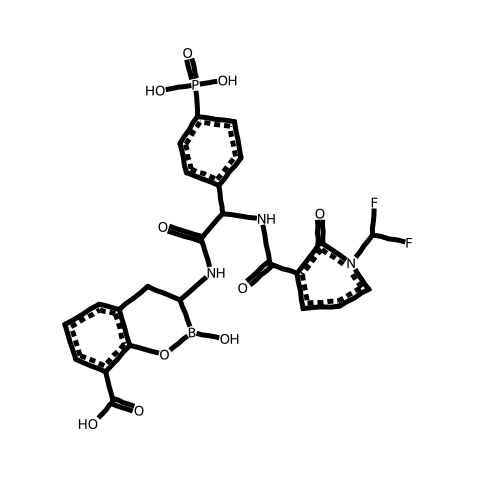 O=C(O)c1cccc2c1OB(O)C(NC(=O)C(NC(=O)c1cccn(C(F)F)c1=O)c1ccc(P(=O)(O)O)cc1)C2